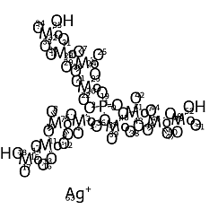 O=P([O][Mo](=[O])(=[O])[O][Mo](=[O])(=[O])[O][Mo](=[O])(=[O])[O][Mo](=[O])(=[O])[OH])([O][Mo](=[O])(=[O])[O][Mo](=[O])(=[O])[O][Mo](=[O])(=[O])[O][Mo](=[O])(=[O])[OH])[O][Mo](=[O])(=[O])[O][Mo](=[O])(=[O])[O][Mo](=[O])(=[O])[O][Mo](=[O])(=[O])[OH].[Ag+]